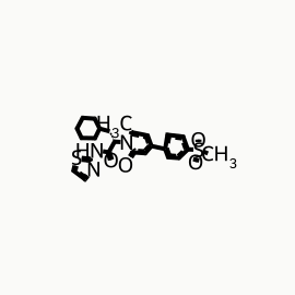 Cc1cc(-c2ccc(S(C)(=O)=O)cc2)cc(=O)n1[C@@H](CC1CCCCC1)C(=O)Nc1nccs1